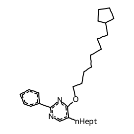 CCCCCCCc1cnc(-c2ccccc2)nc1OCCCCCCCCC1CCCC1